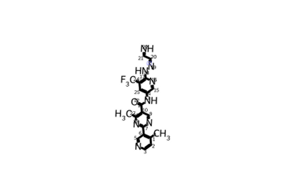 Cc1ccncc1-c1ncc(C(=O)Nc2cnc(N/N=C\C=N)c(C(F)(F)F)c2)c(C)n1